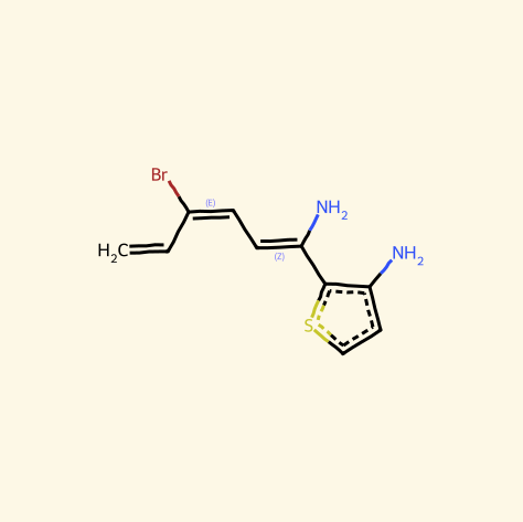 C=C/C(Br)=C\C=C(/N)c1sccc1N